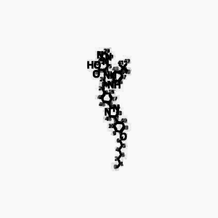 CCCCCCCOc1ccc(-c2cnc(-c3ccc(C[C@H](CNC(Cn4cncn4)C(=O)O)Nc4ccc(C(C)(C)C)cc4)cc3)nc2)cc1